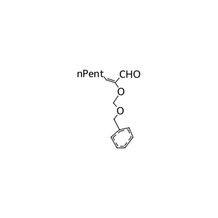 CCCCCC=C(C=O)OCOCc1ccccc1